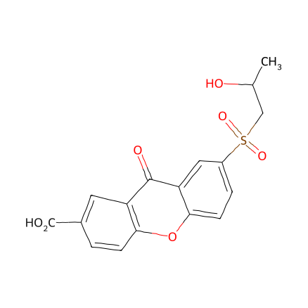 CC(O)CS(=O)(=O)c1ccc2oc3ccc(C(=O)O)cc3c(=O)c2c1